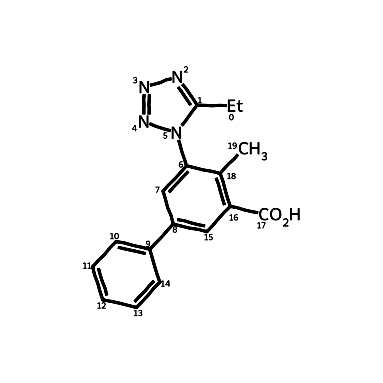 CCc1nnnn1-c1cc(-c2ccccc2)cc(C(=O)O)c1C